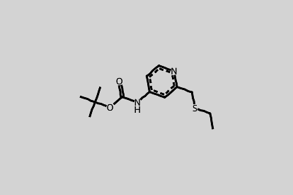 CCSCc1cc(NC(=O)OC(C)(C)C)ccn1